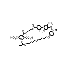 C=CC(=O)OCCCCCCCCCCCOc1ccccc1.CCCCCCCCOc1cc(N)c(-c2ccc(C(=O)OCCCOC(=O)c3cc(C(=O)O)ccc3C(=O)O)cc2)cc1[N+](=O)[O-]